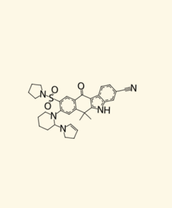 CC1(C)c2cc(N3CCCCC3N3C=CCC3)c(S(=O)(=O)N3CCCC3)cc2C(=O)c2c1[nH]c1cc(C#N)ccc21